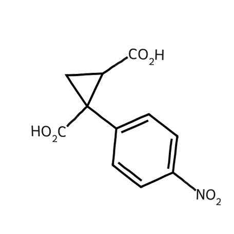 O=C(O)C1CC1(C(=O)O)c1ccc([N+](=O)[O-])cc1